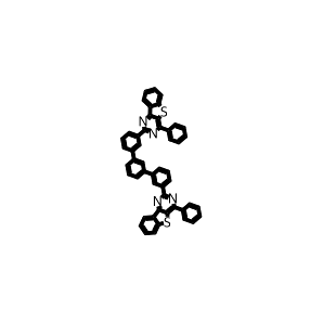 c1ccc(-c2nc(-c3cccc(-c4cccc(-c5cccc(-c6nc(-c7ccccc7)c7sc8ccccc8c7n6)c5)c4)c3)nc3c2sc2ccccc23)cc1